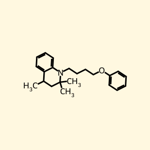 CC1CC(C)(C)N(CCCCOc2ccccc2)c2ccccc21